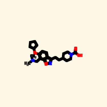 CN(C)Cc1c(OC2CCCC2)ccc2c(CCC3CCN(C(=O)O)CC3)noc12